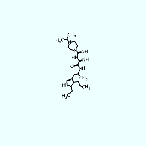 CCCC1C(CC(C)NC(=O)C(=N)NC(=N)N2CCN(C(C)C)CC2)=CNC1CC